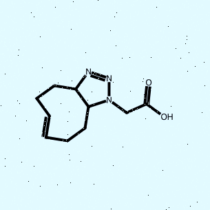 O=C(O)CN1N=NC2CC/C=C/CCC21